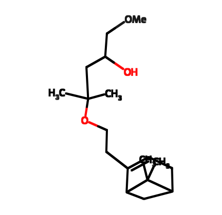 COCC(O)CC(C)(C)OCCC1=CCC2CC1C2(C)C